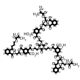 C=C(C)C(=O)OCCCC(=O)c1ccccc1C(=O)OCC(C)OC(=O)c1ccc(C(=O)O)c(C(=O)OCCn2c(=O)n(CCOC(=O)c3cc(C(=O)OC(C)CCC(=O)c4ccccc4C(=O)OCCOC(=O)C(=C)C)ccc3C(=O)O)c(=O)n(CCOC(=O)c3cc(C(=O)OC(C)COC(=O)c4ccccc4C(=O)OCCOC(=O)C(=C)C)ccc3C(=O)O)c2=O)c1